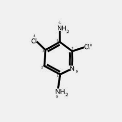 Nc1cc(Cl)c(N)c(Cl)n1